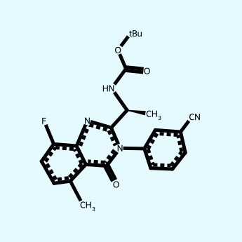 Cc1ccc(F)c2nc([C@H](C)NC(=O)OC(C)(C)C)n(-c3cccc(C#N)c3)c(=O)c12